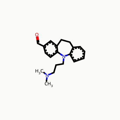 CN(C)CCCN1c2ccccc2CCc2cc(C=O)ccc21